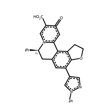 CC(C)[C@@H]1Cc2cc(-c3cnn(C(C)C)c3)c3c(c2-c2cc(=O)c(C(=O)O)cn21)CCO3